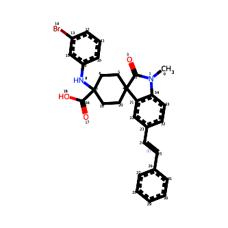 CN1C(=O)C2(CCC(Nc3cccc(Br)c3)(C(=O)O)CC2)c2cc(/C=C/c3ccccc3)ccc21